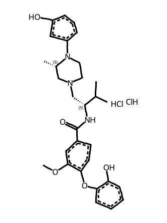 COc1cc(C(=O)N[C@H](CN2CCN(c3cccc(O)c3)[C@@H](C)C2)C(C)C)ccc1Oc1ccccc1O.Cl.Cl